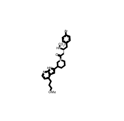 COCCCc1ccnc2[nH]c(C3CCCN(C(=O)C[C@@H](Cc4ccc(Br)cc4)NC(=O)O)C3)cc12